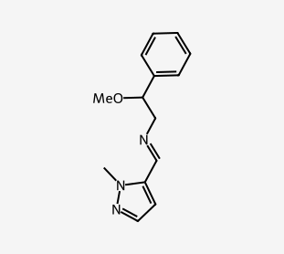 COC(CN=Cc1ccnn1C)c1ccccc1